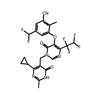 Cc1nc(C2CC2)c(Cn2cnc(C(F)(F)C(F)F)c(Oc3cc(C(F)F)cc(C#N)c3C)c2=O)c(=O)[nH]1